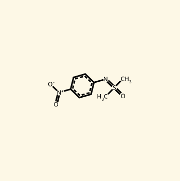 CS(C)(=O)=Nc1ccc([N+](=O)[O-])cc1